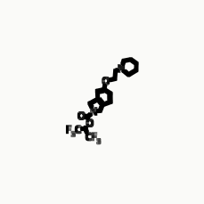 O=C(OC(C(F)(F)F)C(F)(F)F)N1Cc2ccc(OCCN3CCCCC3)cc2C1